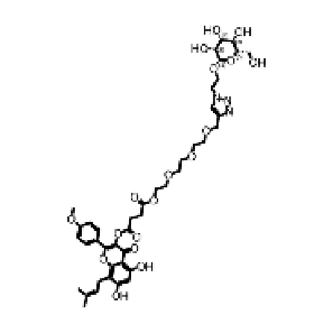 COc1ccc(-c2oc3c(CC=C(C)C)c(O)cc(O)c3c(=O)c2OC(=O)CCC(=O)OCCOCCOCCOCc2cn(CCO[C@H]3O[C@@H](CO)[C@H](O)[C@@H](O)[C@@H]3O)nn2)cc1